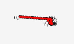 COCCOCCOCCOCCOCCOCCOCCOCCOCCOCCOCCOCCOCCOCCOCCOCCOCCOCCOCCOCCOCCOCCOCCOCCN(CCC(=O)N[C@H](C(=O)N[C@@H](C)C(=O)Nc1ccc(COC(=O)C(C)(C)C)c(CCC[C@@H]2O[C@H](C(=O)O)[C@@H](O)[C@H](O)[C@H]2O)c1)C(C)C)C(=O)CN1C(=O)C=CC1=O